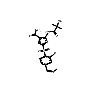 C/N=C\c1ccc(S(=O)(=O)c2cc(C(N)=O)c(NC(=O)C(C)(C)O)s2)c(F)c1